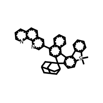 C[Si]1(C)c2ccccc2-c2c1ccc1c2-c2c(cc(-c3cnc4c(ccc5cccnc54)c3)c3ccccc23)C12C1CC3CC(C1)CC2C3